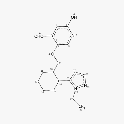 O=Cc1cc(O)ncc1OCC1CCCCC1c1ccnn1CC(F)(F)F